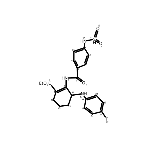 CCOC(=O)C1=C(NC(=O)c2ccc(N[SH](=O)=O)cc2)C(Nc2ccc(F)cc2)CCC1